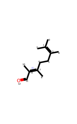 CC(C)=C(C)CC/C(C)=C(\C)C=O